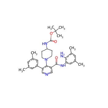 Cc1cc(C)cc(-c2cncc(C(=O)Nc3cc(C)cc(C)c3N)c2N2CCC(NC(=O)OC(C)(C)C)CC2)c1